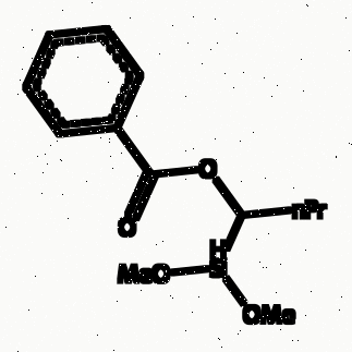 CCCC(OC(=O)c1ccccc1)[SiH](OC)OC